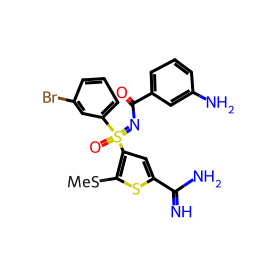 CSc1sc(C(=N)N)cc1S(=O)(=NC(=O)c1cccc(N)c1)c1cccc(Br)c1